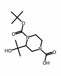 CC(C)(C)OC(=O)N1CCN(C(=O)O)CC1C(C)(C)O